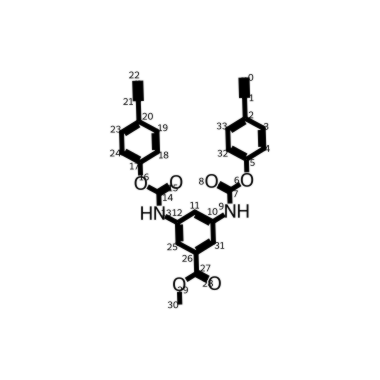 C#Cc1ccc(OC(=O)Nc2cc(NC(=O)Oc3ccc(C#C)cc3)cc(C(=O)OC)c2)cc1